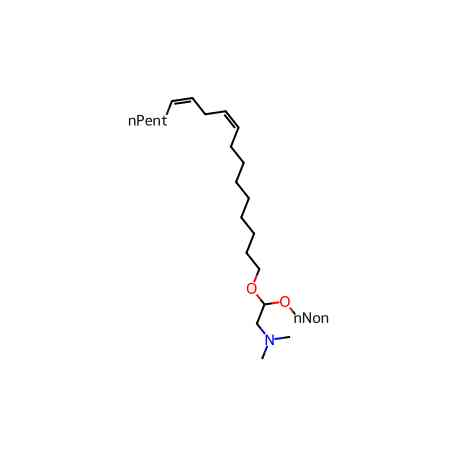 CCCCC/C=C\C/C=C\CCCCCCCCOC(CN(C)C)OCCCCCCCCC